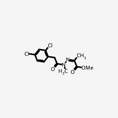 COC(=O)C(C)=NN(C)C(=O)Cc1ccc(Cl)cc1Cl